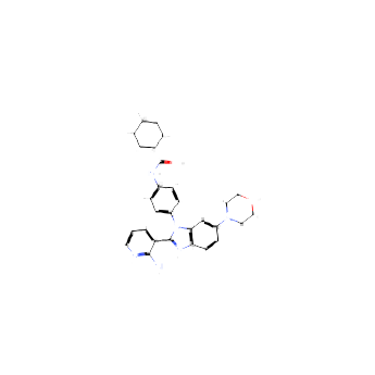 Nc1ncccc1-c1nc2ccc(N3CCOCC3)cc2n1-c1ccc(NC(=O)[C@H]2CC[C@H](C(=O)O)CC2)cc1